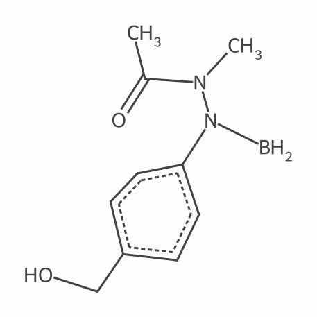 BN(c1ccc(CO)cc1)N(C)C(C)=O